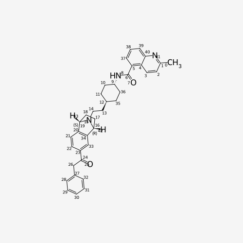 Cc1ccc2c(C(=O)N[C@H]3CC[C@H](CCN4[C@@H]5CC[C@H]4c4ccc(C(=O)Cc6ccccc6)cc45)CC3)cccc2n1